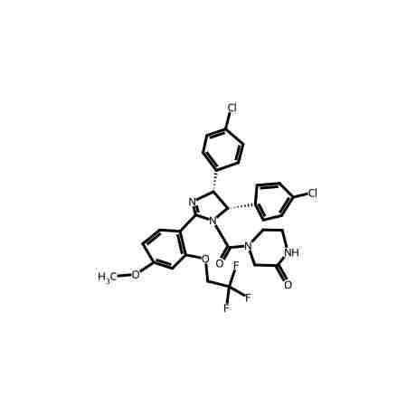 COc1ccc(C2=N[C@H](c3ccc(Cl)cc3)[C@H](c3ccc(Cl)cc3)N2C(=O)N2CCNC(=O)C2)c(OCC(F)(F)F)c1